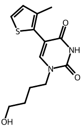 Cc1ccsc1-c1cn(CCCCO)c(=O)[nH]c1=O